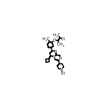 CC/C(C)=C(\C)Oc1cc(C2=CC(=C3CCC3)N3C=C(C4=CCN(CC)CC4)N=CC3=N2)ccc1C